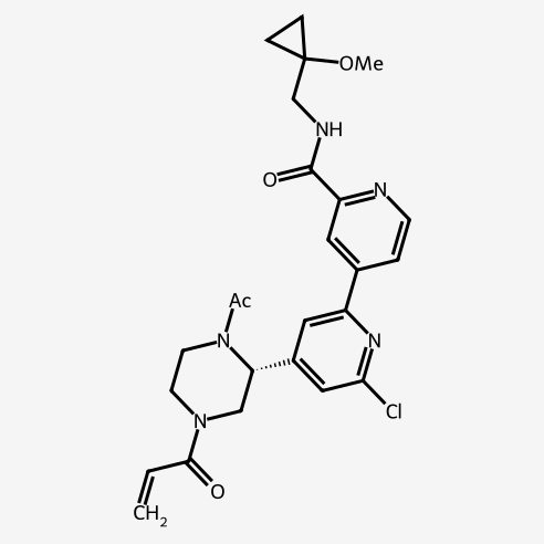 C=CC(=O)N1CCN(C(C)=O)[C@H](c2cc(Cl)nc(-c3ccnc(C(=O)NCC4(OC)CC4)c3)c2)C1